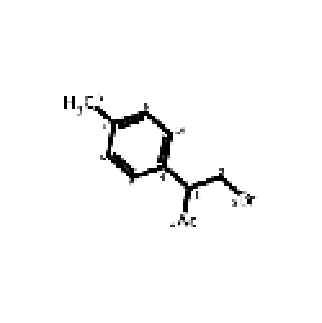 CC(=O)C(CBr)c1ccc(C)cc1